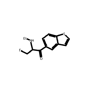 CCNC(CF)C(=O)c1ccc2sccc2c1